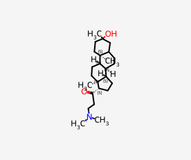 CN(C)CCC(=O)[C@H]1CC[C@H]2[C@@H]3CCC4CC(C)(O)CC[C@]4(C)[C@H]3CC[C@]12C